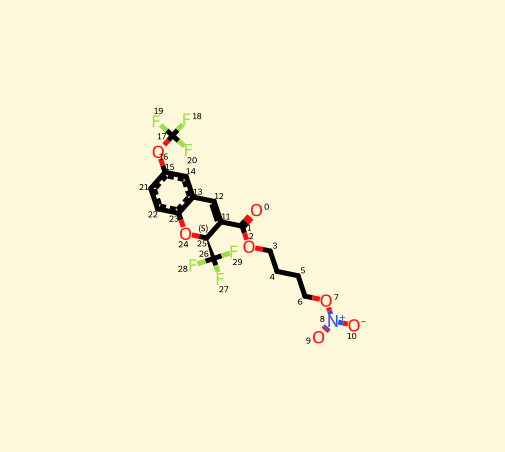 O=C(OCCCCO[N+](=O)[O-])C1=Cc2cc(OC(F)(F)F)ccc2O[C@@H]1C(F)(F)F